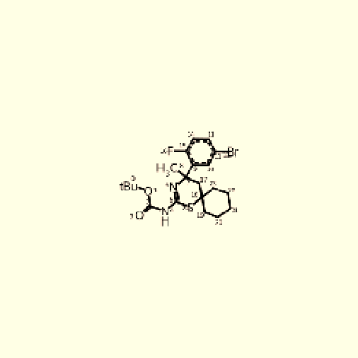 CC(C)(C)OC(=O)NC1=NC(C)(c2cc(Br)ccc2F)CC2(CCCCC2)S1